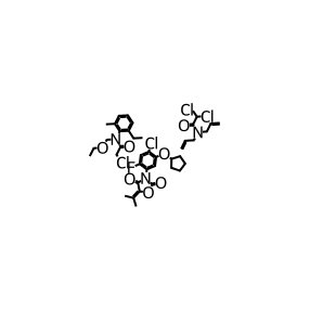 C=CCN(CC=C)C(=O)C(Cl)Cl.CC(C)=C1OC(=O)N(c2cc(OC3CCCC3)c(Cl)cc2F)C1=O.CCOCN(C(=O)CCl)c1c(C)cccc1CC